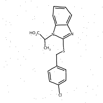 CC(C(=O)O)n1c(SCc2ccc(Cl)cc2)nc2ccccc21